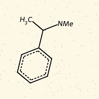 CN[C](C)c1ccccc1